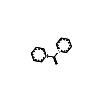 C=C([n+]1ccccc1)[n+]1ccccc1